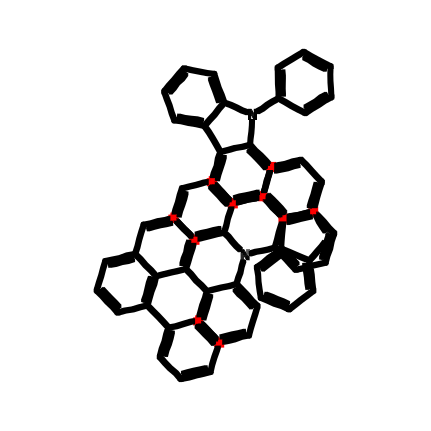 c1ccc(-c2cccc3cccc(-c4ccccc4N(c4ccccc4-c4ccc5c6ccccc6n(-c6ccccc6)c5c4)c4ccccc4-c4cccc5sc6ccccc6c45)c23)cc1